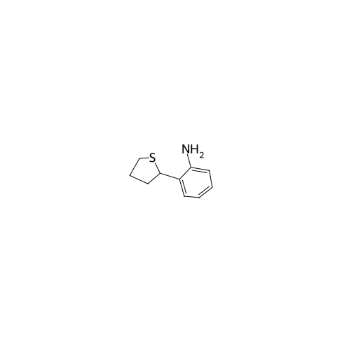 Nc1ccccc1C1CCCS1